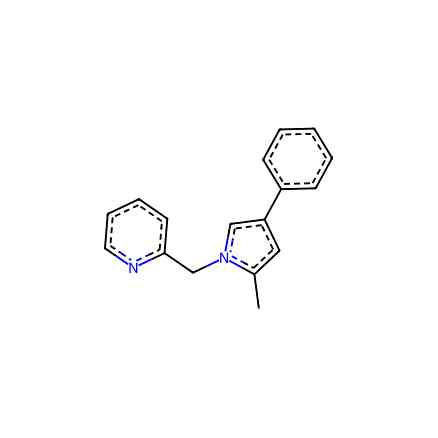 Cc1cc(-c2ccccc2)cn1Cc1ccccn1